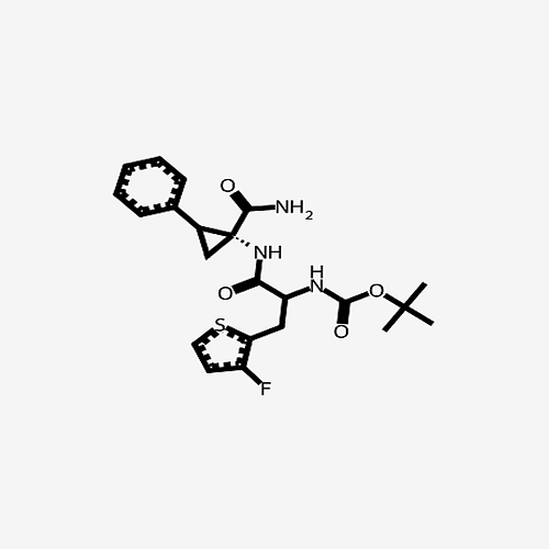 CC(C)(C)OC(=O)NC(Cc1sccc1F)C(=O)N[C@]1(C(N)=O)CC1c1ccccc1